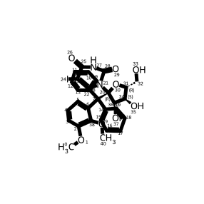 COc1cccc(C(c2ccccc2)(c2ccccc2)[C@@]2(n3cc(I)c(=O)[nH]c3=O)O[C@H](CO)[C@@H](O)[C@H]2O)c1OC